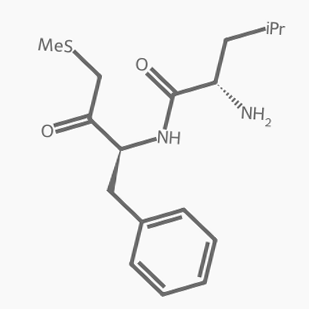 CSCC(=O)[C@H](Cc1ccccc1)NC(=O)[C@@H](N)CC(C)C